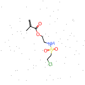 C=C(C)C(=O)OCCNS(=O)(=O)CCCl